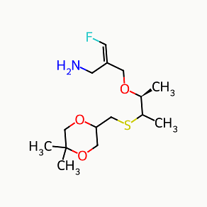 CC(SCC1COC(C)(C)CO1)[C@H](C)OC/C(=C/F)CN